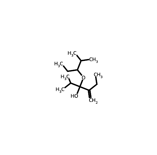 C=C(CC)C(O)(OC(CC)C(C)C)C(C)C